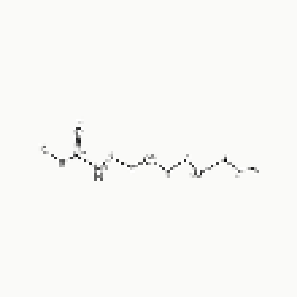 CCCOCCOCCNC(=O)CC